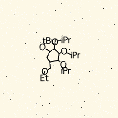 CCOCC1CC(OC(C)(C)C)C(OC(C)C)C(OC(C)C)C1OC(C)C